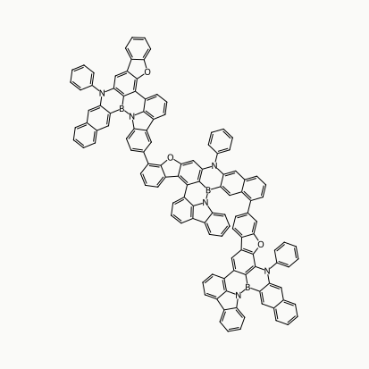 c1ccc(N2c3cc4ccccc4cc3B3c4c2cc2c(oc5ccccc52)c4-c2cccc4c5cc(-c6cccc7c6oc6cc8c9c(c67)-c6cccc7c%10ccccc%10n(c67)B9c6cc7c(-c9ccc%10c(c9)oc9c%11c%12c(cc9%10)-c9cccc%10c%13ccccc%13n(c9%10)B%12c9cc%10ccccc%10cc9N%11c9ccccc9)cccc7cc6N8c6ccccc6)ccc5n3c24)cc1